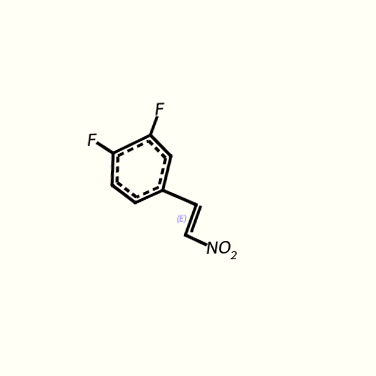 O=[N+]([O-])/C=C/c1ccc(F)c(F)c1